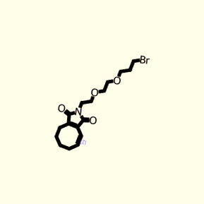 O=C1C2=C(CCCC/C=C\2)C(=O)N1CCOCCOCCCBr